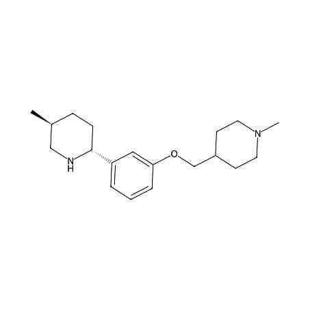 C[C@H]1CC[C@H](c2cccc(OCC3CCN(C)CC3)c2)NC1